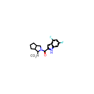 O=C(O)C1C2CCCC2CN1C(=O)c1cc2c(F)cc(F)cc2[nH]1